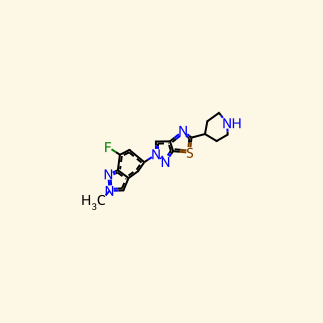 Cn1cc2cc(-n3cc4nc(C5CCNCC5)sc4n3)cc(F)c2n1